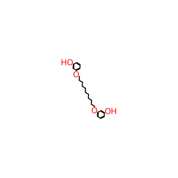 Oc1cccc(OCCCCCCCCCCCOc2cccc(O)c2)c1